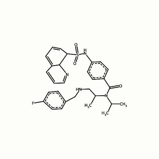 CC(C)N(C(=O)c1ccc(NS(=O)(=O)C2C=CC=C3C=CC=NC32)cc1)C(C)CNCc1ccc(F)cc1